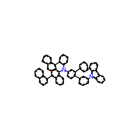 c1ccc(-c2cc(N(c3ccccc3-c3cccc4ccccc34)c3ccc(-c4cccc5ccccc45)c4ccccc34)ccc2-c2cccc(-n3c4ccccc4c4ccccc43)c2)cc1